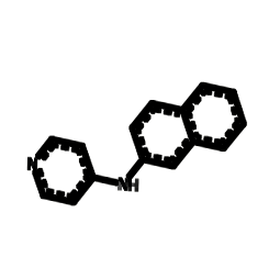 c1ccc2cc(Nc3ccncc3)ccc2c1